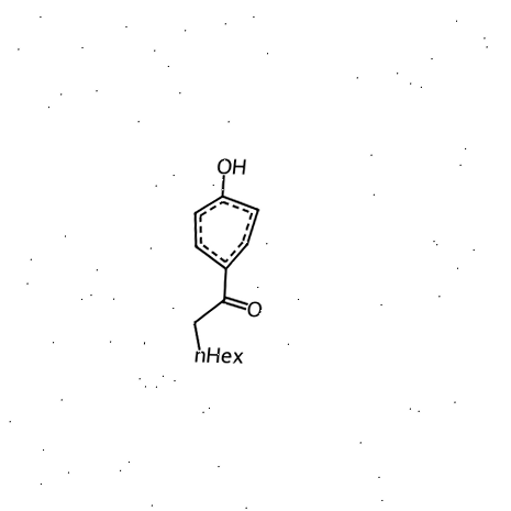 CCCCCCCC(=O)c1ccc(O)cc1